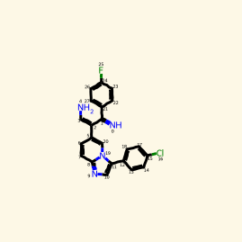 N=C(/C(=C\N)c1ccc2ncc(-c3ccc(Cl)cc3)n2c1)c1ccc(F)cc1